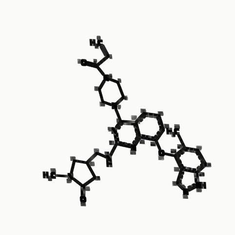 C=CC(=O)N1CCN(c2nc(NCC3CC(=O)N(C)C3)nc3c(Oc4c(C)ccc5[nH]ncc45)cccc23)CC1